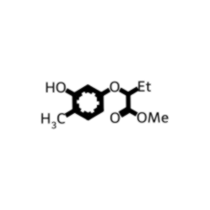 CCC(Oc1ccc(C)c(O)c1)C(=O)OC